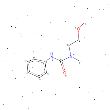 COCCN(C)C(=O)Nc1ccccc1